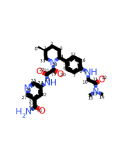 C[C@H]1CCC(c2ccc(NCC(=O)N(C)C)cc2)N(C(=O)C(=O)Nc2cncc(C(N)=O)c2)C1